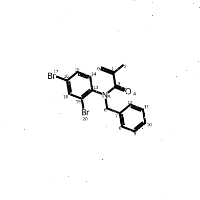 C=C(C)C(=O)N(Cc1ccccc1)c1ccc(Br)cc1Br